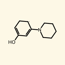 OC1=CC[CH]C(N2CCCCC2)=C1